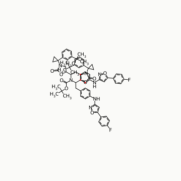 CC(C)(C)OC(=O)N(C(Cc1ccc(Nc2cc(-c3ccc(F)cc3)on2)cc1)C1CN(C2(c3cccc(C(C)(C)C)c3)CC2)C(=O)O1)C(Cc1ccc(Nc2cc(-c3ccc(F)cc3)on2)cc1)C1CN(C2(c3cccc(C(C)(C)C)c3)CC2)C(=O)O1